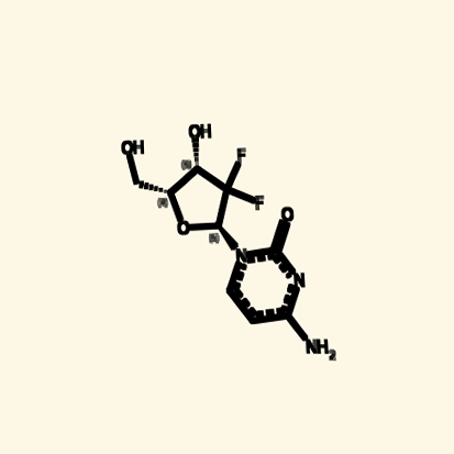 Nc1ccn([C@H]2O[C@H](CO)[C@H](O)C2(F)F)c(=O)n1